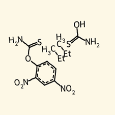 CCC.CCC.NC(=S)Oc1ccc([N+](=O)[O-])cc1[N+](=O)[O-].NC(O)=S